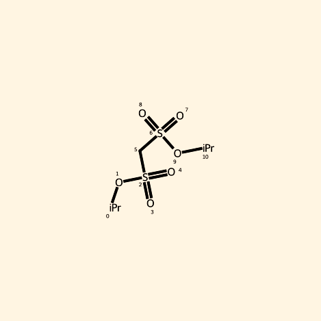 CC(C)OS(=O)(=O)CS(=O)(=O)OC(C)C